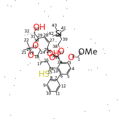 COCOc1ccc(-c2ccccc2)c(C(S)CC[C@@H]2OC(C)(C)O[C@@H]2C(O)/C=C\[C@@H](C)[C@H](C)O)c1C(=O)OCC[Si](C)(C)C